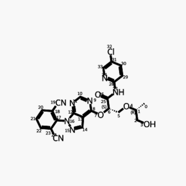 C[C@H](CO)OC[C@H](Oc1ncnc2c1cnn2-c1c(C#N)cccc1C#N)C(=O)Nc1ccc(Cl)cn1